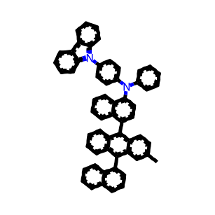 Cc1ccc2c(-c3ccc(N(c4ccccc4)c4ccc(-n5c6ccccc6c6ccccc65)cc4)c4ccccc34)c3ccccc3c(-c3cccc4ccccc34)c2c1